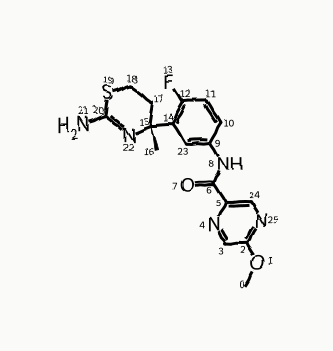 COc1cnc(C(=O)Nc2ccc(F)c([C@@]3(C)CCSC(N)=N3)c2)cn1